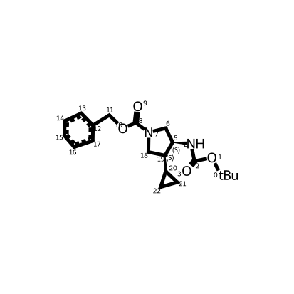 CC(C)(C)OC(=O)N[C@@H]1CN(C(=O)OCc2ccccc2)C[C@@H]1C1CC1